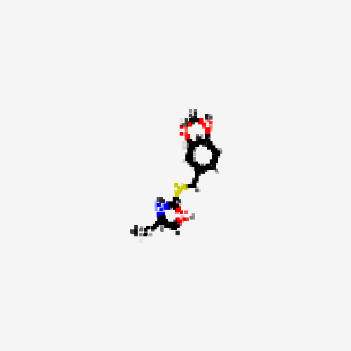 Cc1coc(SCc2ccc3c(c2)OCO3)n1